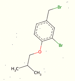 CC(C)COc1ccc(CBr)cc1Br